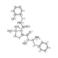 CC1(C)SCN(C(=O)C(O)C(N)Cc2ccccc2)C1C(=O)NCc1ccccc1Cl